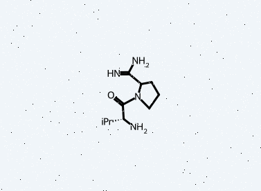 CC(C)[C@@H](N)C(=O)N1CCCC1C(=N)N